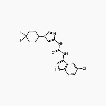 O=C(Nc1cn(C2CCC(F)(F)CC2)cn1)Nc1c[nH]c2ccc(Cl)cc12